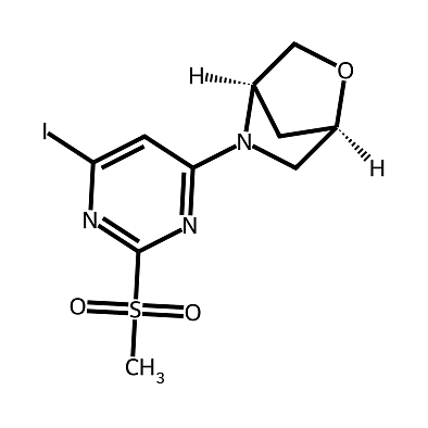 CS(=O)(=O)c1nc(I)cc(N2C[C@H]3C[C@@H]2CO3)n1